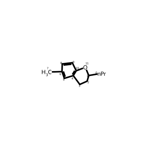 CCCC1CCc2cc(C)ccc2O1